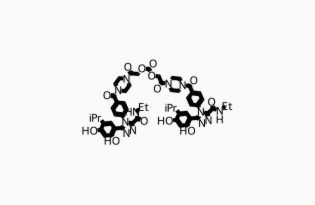 CCNC(=O)c1nnc(-c2cc(C(C)C)c(O)cc2O)n1-c1ccc(C(=O)N2CCN(C(=O)COC(=O)OCC(=O)N3CCN(C(=O)c4ccc(-n5c(C(=O)NCC)nnc5-c5cc(C(C)C)c(O)cc5O)cc4)CC3)CC2)cc1